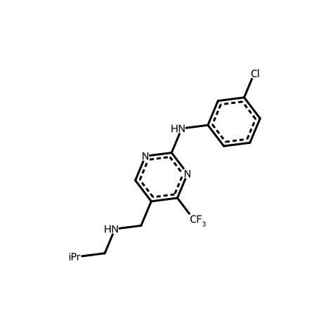 CC(C)CNCc1cnc(Nc2cccc(Cl)c2)nc1C(F)(F)F